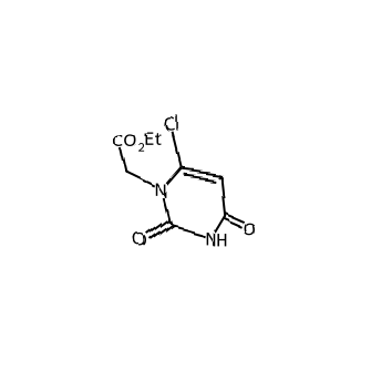 CCOC(=O)Cn1c(Cl)cc(=O)[nH]c1=O